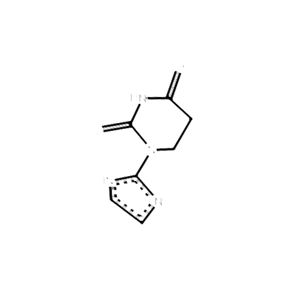 O=C1CCN(c2ncc[nH]2)C(=O)N1